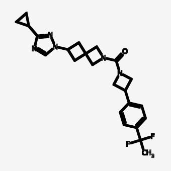 CC(F)(F)c1ccc(C2CN(C(=O)N3CC4(CC(n5cnc(C6CC6)n5)C4)C3)C2)cc1